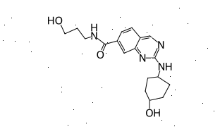 O=C(NCCCO)c1ccc2cnc(NC3CCC(O)CC3)nc2c1